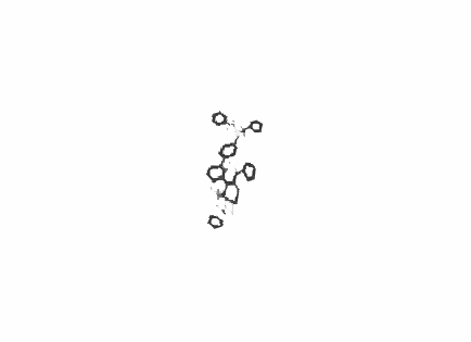 N=C1/C(=N\Nc2ccccc2)C=Cc2c(-c3ccccc3)nc3c(-c4ccc(-c5nc(-c6ccccc6)nc(-c6ccccc6)n5)cc4)cccc3c21